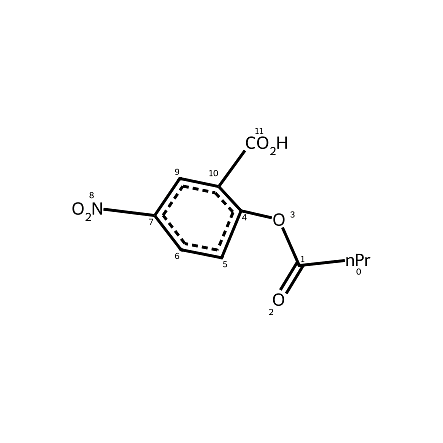 CCCC(=O)Oc1ccc([N+](=O)[O-])cc1C(=O)O